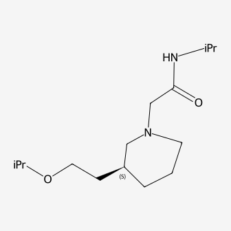 CC(C)NC(=O)CN1CCC[C@@H](CCOC(C)C)C1